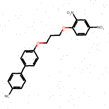 N#Cc1ccc(-c2ccc(OCCCOc3ccc([N+](=O)[O-])cc3[N+](=O)[O-])cc2)cc1